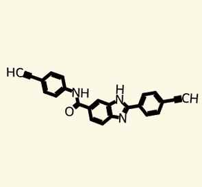 C#Cc1ccc(NC(=O)c2ccc3nc(-c4ccc(C#C)cc4)[nH]c3c2)cc1